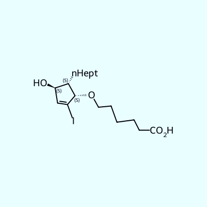 CCCCCCC[C@H]1[C@H](O)C=C(I)[C@H]1OCCCCCC(=O)O